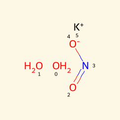 O.O.O=N[O-].[K+]